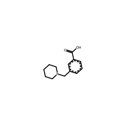 O=C(O)c1cccc(CN2CC[CH]CC2)c1